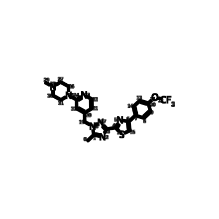 Cc1nc(-c2nc(-c3ccc(OC(F)(F)F)cc3)cs2)nn1Cc1ccnc(N2CCN(C)CC2)c1